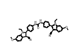 CCN1c2cc(OC)ccc2C(C#N)C1c1ccc(NC(=O)Nc2ccc(-c3c(C#N)c4ccc(OC)cc4n3CC)cc2)cc1